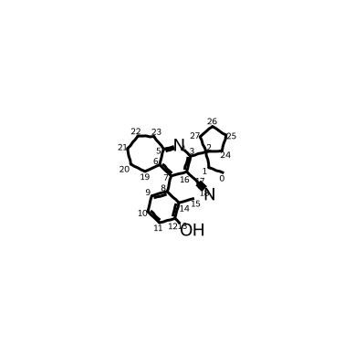 CCC1(c2nc3c(c(-c4cccc(O)c4C)c2C#N)CCCCC3)CCCC1